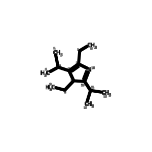 CCC1=C(C(C)C)C(CC)C(C(C)C)=N1